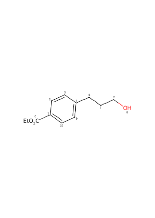 CCOC(=O)c1ccc(CCCO)cc1